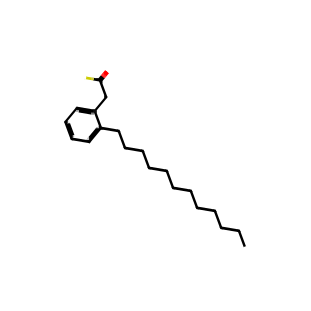 CCCCCCCCCCCCc1ccccc1CC(=O)S